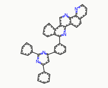 c1ccc(-c2cc(-c3cccc(-c4nc5c(cnc6c5ccc5cccnc56)c5ccccc45)c3)nc(-c3ccccc3)n2)cc1